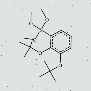 CO[Si](OC)(OC)c1cccc(OC(C)(C)C)c1OC(C)(C)C